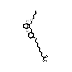 C=CCCOC[C@H]1[C@@H](Cc2cccc(OCCCCCCCC(=O)O)c2)[C@H]2CC[C@@H]1O2